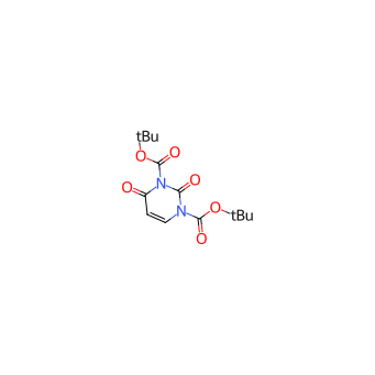 CC(C)(C)OC(=O)n1ccc(=O)n(C(=O)OC(C)(C)C)c1=O